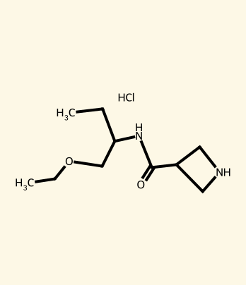 CCOCC(CC)NC(=O)C1CNC1.Cl